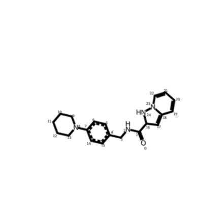 O=C(NCc1ccc(N2CCCCC2)cc1)C1C=C2C=CC=CN2N1